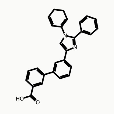 O=C(O)c1cccc(-c2cccc(-c3cn(C4=CCCC=C4)c(-c4ccccc4)n3)c2)c1